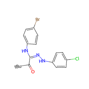 CC(C)(C)C(=O)/C(=N\Nc1ccc(Cl)cc1)Nc1ccc(Br)cc1